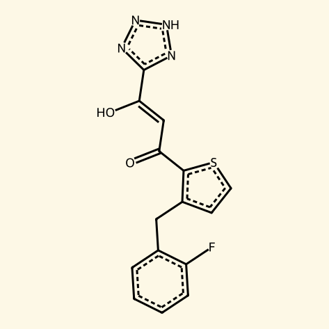 O=C(C=C(O)c1nn[nH]n1)c1sccc1Cc1ccccc1F